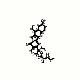 CCN[C@@H](C)C(=O)O[C@]1(CC)C(=O)OCc2c1cc1n(c2=O)Cc2c-1nc1ccc(O)cc1c2CC